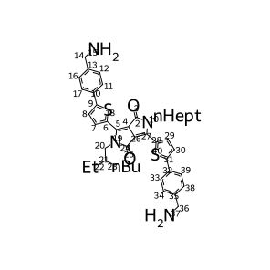 CCCCCCCN1C(=O)C2=C(c3ccc(-c4ccc(CN)cc4)s3)N(CC(CC)CCCC)C(=O)C2=C1c1ccc(-c2ccc(CN)cc2)s1